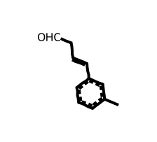 Cc1cccc(/C=C/CC=O)c1